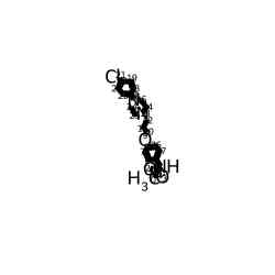 CS(=O)(=O)Nc1ccc(OCCCN2CCN(c3ccc(Cl)cc3)CC2)cc1